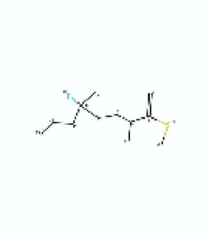 C=C(SC)C(C)CCC(C)(F)CCC